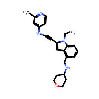 CCn1c(C#CNc2ccnc(C)c2)cc2c(CNC3CCOCC3)cccc21